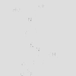 Cc1ccc(S(=O)(=O)F)cc1N=Nc1ccc(N(CCO)CCO)cc1